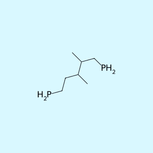 CC(CP)C(C)CCP